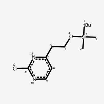 CC(C)(C)[Si](C)(C)OCCc1ccnc(Cl)n1